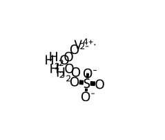 O.O.O.O.O=S(=O)([O-])[O-].[O-2].[V+4]